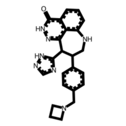 O=c1[nH]nc2c3c(cccc13)NCC(c1ccc(CN3CCC3)cc1)C2c1ncn[nH]1